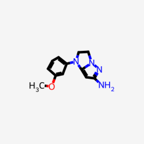 COc1cccc(N2CCn3nc(N)cc32)c1